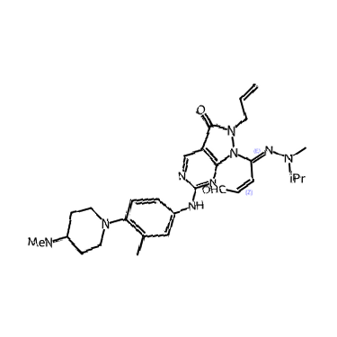 C=CCn1c(=O)c2cnc(Nc3ccc(N4CCC(NC)CC4)c(C)c3)nc2n1C(/C=C\C=O)=N/N(C)C(C)C